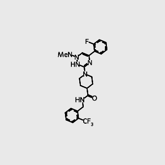 CNN1C=C(c2ccccc2F)N=C(N2CCC(C(=O)NCc3ccccc3C(F)(F)F)CC2)N1